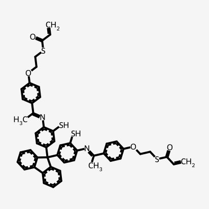 C=CC(=O)SCCOc1ccc(/C(C)=N/c2ccc(C3(c4ccc(/N=C(\C)c5ccc(OCCSC(=O)C=C)cc5)c(S)c4)c4ccccc4-c4ccccc43)cc2S)cc1